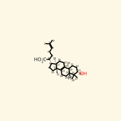 CC(C)=CCCC(C(=O)O)[C@H]1CC[C@@]2(C)C3=C(CC[C@]12C)[C@@]1(C)CC[C@H](O)C(C)(C)[C@@H]1CC3